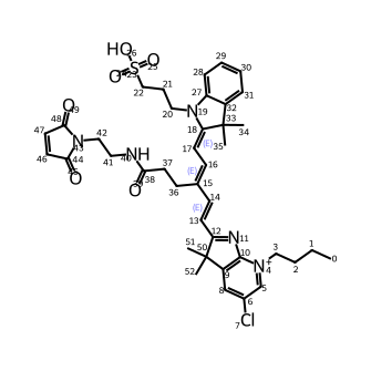 CCCC[n+]1cc(Cl)cc2c1N=C(/C=C/C(=C/C=C1/N(CCCS(=O)(=O)O)c3ccccc3C1(C)C)CCC(=O)NCCN1C(=O)C=CC1=O)C2(C)C